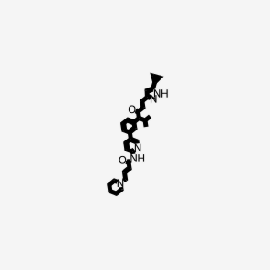 CC(C)C(C(=O)CCc1cc(C2CC2)[nH]n1)c1cccc(-c2ccc(NC(=O)/C=C/CN3CCCCC3)nc2)c1